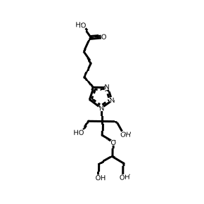 O=C(O)CCCc1cn(C(CO)(CO)COC(CO)CO)nn1